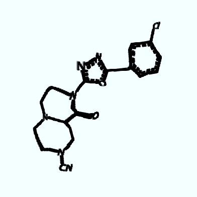 N#CN1CCN2CCN(c3nnc(-c4cccc(Cl)c4)o3)C(=O)C2C1